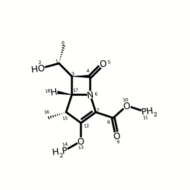 C[C@@H](O)[C@H]1C(=O)N2C(C(=O)OP)=C(OP)[C@H](C)[C@H]12